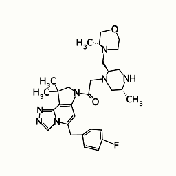 C[C@@H]1CN(CC(=O)N2CC(C)(C)c3c2cc(Cc2ccc(F)cc2)n2cnnc32)[C@@H](CN2CCOC[C@H]2C)CN1